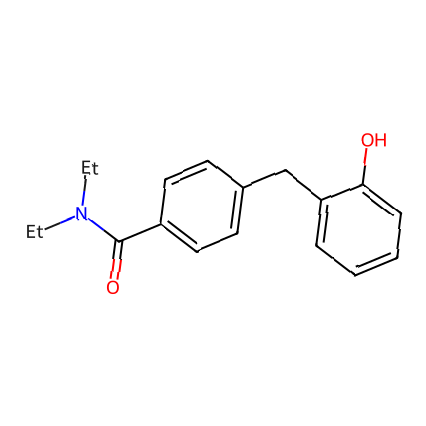 CCN(CC)C(=O)c1ccc(Cc2ccccc2O)cc1